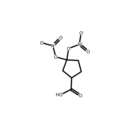 O=C(O)C1CCC(O[N+](=O)[O-])(O[N+](=O)[O-])C1